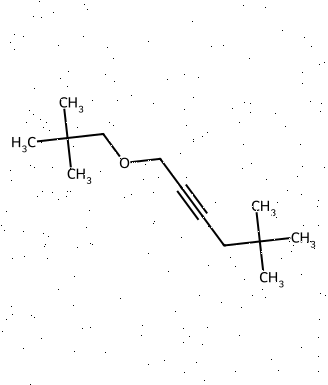 CC(C)(C)CC#CCOCC(C)(C)C